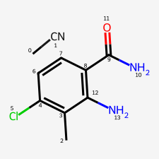 CC#N.Cc1c(Cl)ccc(C(N)=O)c1N